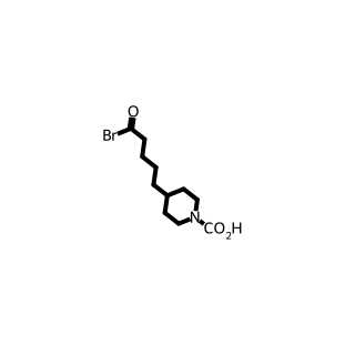 O=C(Br)CCCCC1CCN(C(=O)O)CC1